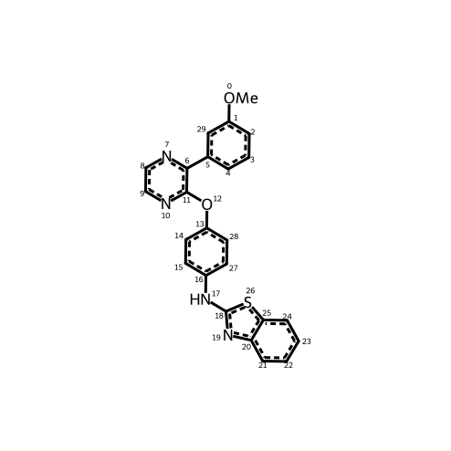 COc1cccc(-c2nccnc2Oc2ccc(Nc3nc4ccccc4s3)cc2)c1